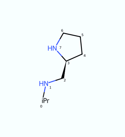 CC(C)NC[C@@H]1CCCN1